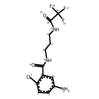 Nc1ccc(Cl)c(C(=O)NCCCNC(=O)C(F)(F)F)c1